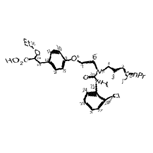 CCCSCCCN(CCOc1ccc(CC(OCC)C(=O)O)cc1)C(=O)Nc1ccccc1Cl